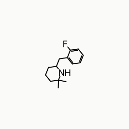 CC1(C)CCCC(Cc2ccccc2F)N1